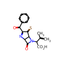 C=C(C)C(C(=O)O)N1C(=O)C2N=C(C(=O)c3ccccc3)C(=S)C21